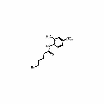 Cc1cc([N+](=O)[O-])ccc1NC(=O)CCCCBr